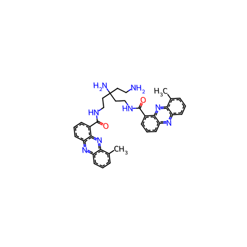 Cc1cccc2nc3cccc(C(=O)NCCC(N)(CCN)CCNC(=O)c4cccc5nc6cccc(C)c6nc45)c3nc12